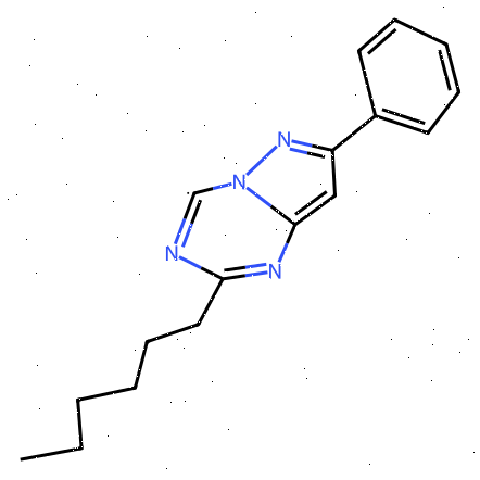 CCCCCCc1n[c]n2nc(-c3ccccc3)cc2n1